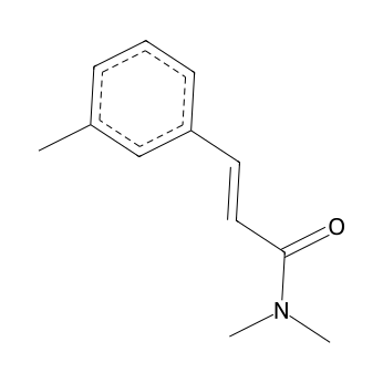 Cc1cccc(C=CC(=O)N(C)C)c1